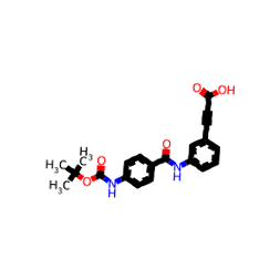 CC(C)(C)OC(=O)Nc1ccc(C(=O)Nc2cccc(C#CC(=O)O)c2)cc1